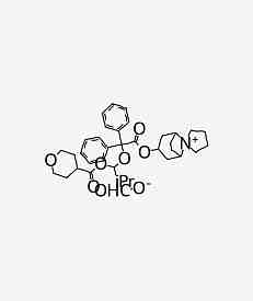 CC(C)C(OC(=O)C1CCOCC1)OC(C(=O)OC1CC2CCC(C1)[N+]21CCCC1)(c1ccccc1)c1ccccc1.O=C[O-]